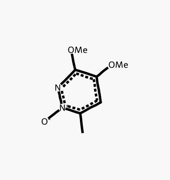 COc1cc(C)[n+]([O-])nc1OC